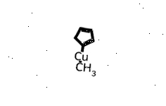 [CH3][Cu][C]1=CC=CC1